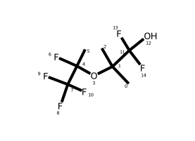 CC(C)(OC(C)(F)C(F)(F)F)C(O)(F)F